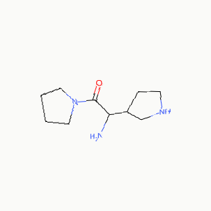 NC(C(=O)N1CCCC1)C1CCNC1